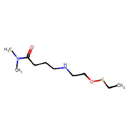 CCSOCCNCCCC(=O)N(C)C